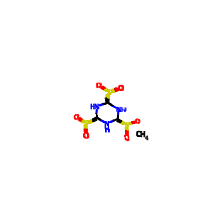 C.O=S(=O)=c1[nH]c(=S(=O)=O)[nH]c(=S(=O)=O)[nH]1